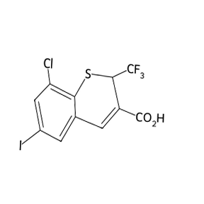 O=C(O)C1=Cc2cc(I)cc(Cl)c2SC1C(F)(F)F